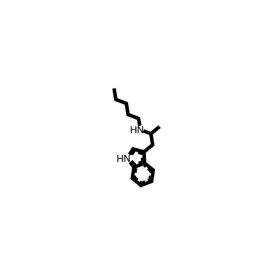 CCCCCNC(C)Cc1c[nH]c2ccccc12